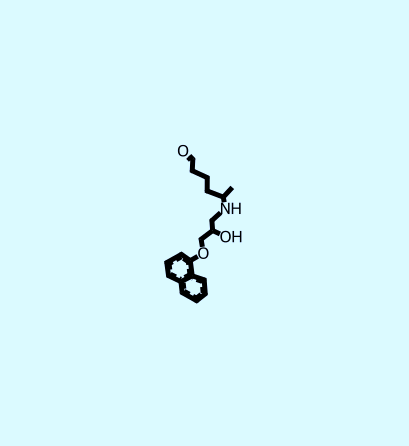 CC(CCCC=O)NCC(O)COc1cccc2ccccc12